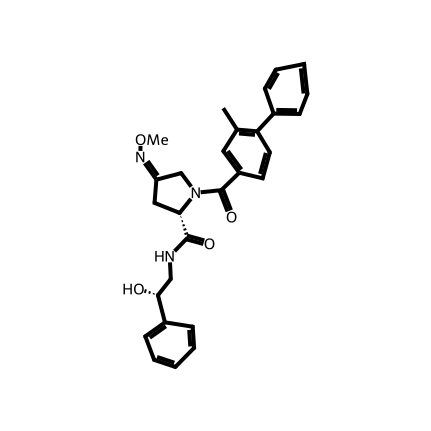 CON=C1C[C@@H](C(=O)NC[C@@H](O)c2ccccc2)N(C(=O)c2ccc(-c3ccccc3)c(C)c2)C1